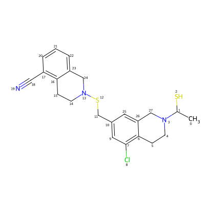 CC(S)N1CCc2c(Cl)cc(CSN3CCc4c(C#N)cccc4C3)cc2C1